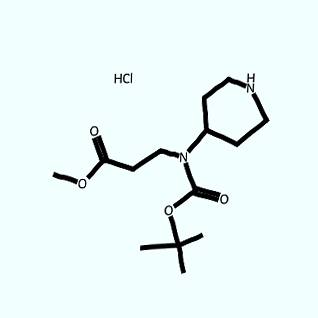 COC(=O)CCN(C(=O)OC(C)(C)C)C1CCNCC1.Cl